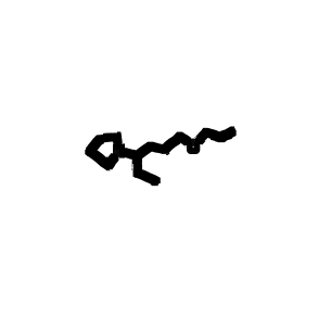 CCCOCCCC(CC)N1CCCC1